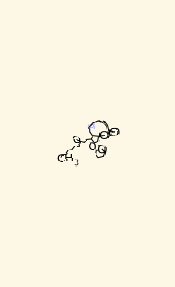 CCCCCCCC(=O)CCC1C(OC2CCCCO2)CC2OC(=O)CCC/C=C\CC21